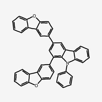 c1ccc(-n2c3ccccc3c3cc(-c4ccc5oc6ccccc6c5c4)cc(-c4ccc5oc6ccccc6c5c4)c32)cc1